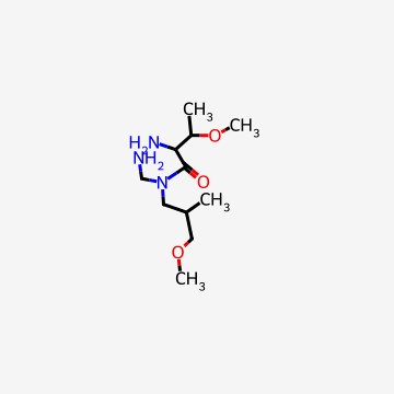 COCC(C)CN(CN)C(=O)C(N)C(C)OC